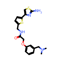 CN(C)Cc1cccc(OCC(=O)NCc2ccc(-c3csc(N)n3)s2)c1